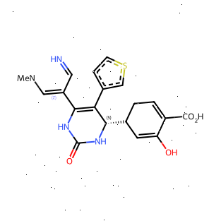 CN/C=C(\C=N)C1=C(c2ccsc2)[C@H](C2C=C(O)C(C(=O)O)=CC2)NC(=O)N1